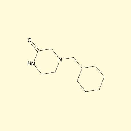 O=C1CN(CC2CCCCC2)CCN1